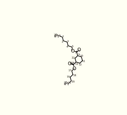 CC(C)CCCCCOC(=O)C1CCCC(C(=O)OCCCCC(C)C)C1